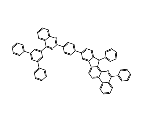 c1ccc(-c2cc(-c3ccccc3)cc(-c3nc(-c4ccc(-c5ccc6c(c5)c5ccc7c8ccccc8c(-c8ccccc8)nc7c5n6-c5ccccc5)cc4)nc4ccccc34)c2)cc1